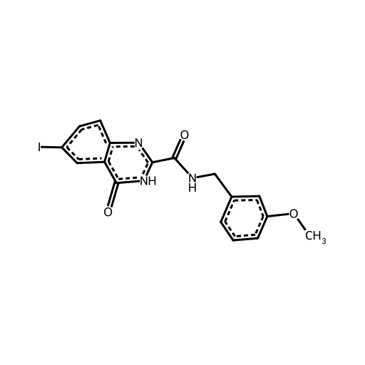 COc1cccc(CNC(=O)c2nc3ccc(I)cc3c(=O)[nH]2)c1